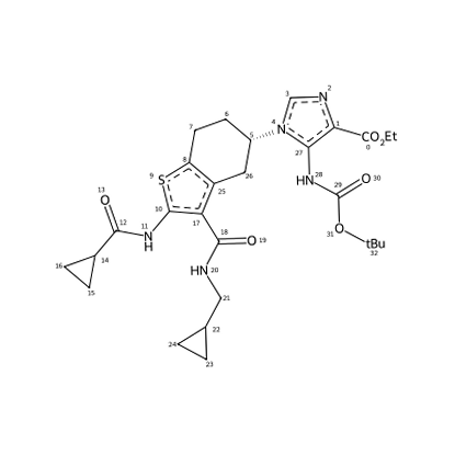 CCOC(=O)c1ncn([C@H]2CCc3sc(NC(=O)C4CC4)c(C(=O)NCC4CC4)c3C2)c1NC(=O)OC(C)(C)C